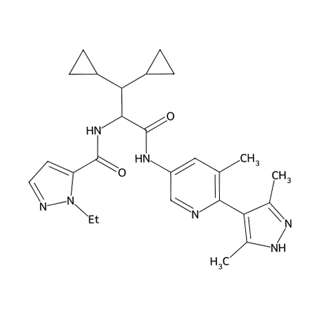 CCn1nccc1C(=O)NC(C(=O)Nc1cnc(-c2c(C)n[nH]c2C)c(C)c1)C(C1CC1)C1CC1